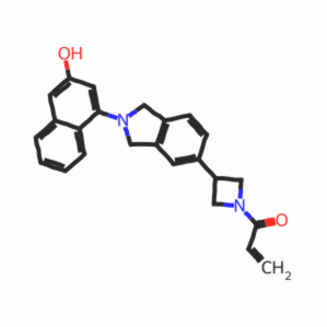 C=CC(=O)N1CC(c2ccc3c(c2)CN(c2cc(O)cc4ccccc24)C3)C1